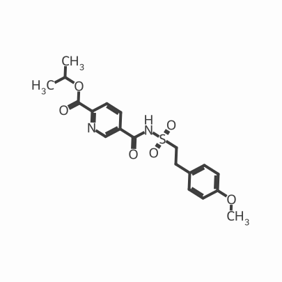 COc1ccc(CCS(=O)(=O)NC(=O)c2ccc(C(=O)OC(C)C)nc2)cc1